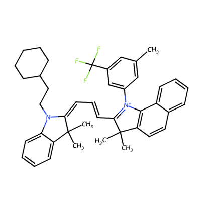 Cc1cc([N+]2=C(/C=C/C=C3/N(CCC4CCCCC4)c4ccccc4C3(C)C)C(C)(C)c3ccc4ccccc4c32)cc(C(F)(F)F)c1